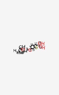 C[SiH](C)OC(CCOc1ccc2cc(B(O)O)sc2c1)C(C)(C)C